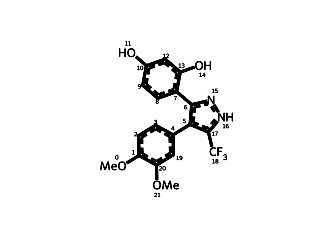 COc1ccc(-c2c(-c3ccc(O)cc3O)n[nH]c2C(F)(F)F)cc1OC